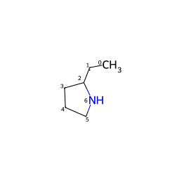 C[CH]C1CCCN1